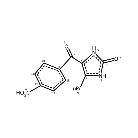 CCCc1[nH]c(=O)[nH]c1C(=O)c1ccc(C(=O)O)cc1